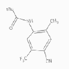 Cc1cc(C#N)c(C(F)(F)F)cc1NC(=O)C(C)(C)C